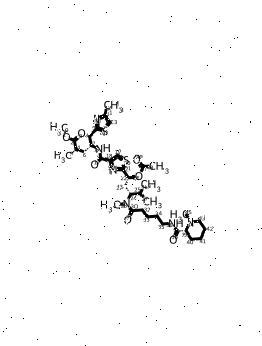 COC(=O)[C@@H](C)C[C@H](Cc1nc(C)cs1)NC(=O)c1csc([C@@H](C[C@H](C(C)C)N(C)C(=O)CCCCNC(=O)[C@H]2CCCCN2C)OC(C)=O)n1